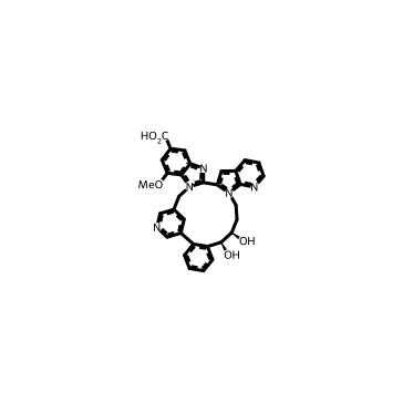 COc1cc(C(=O)O)cc2nc3n(c12)Cc1cncc(c1)-c1ccccc1[C@H](O)[C@H](O)CCn1c-3cc2cccnc21